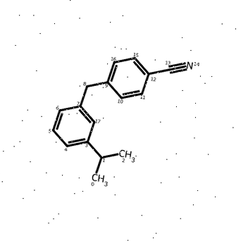 CC(C)c1cccc(Cc2ccc(C#N)cc2)c1